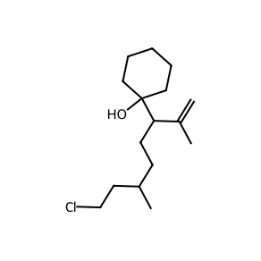 C=C(C)C(CCC(C)CCCl)C1(O)CCCCC1